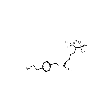 CCCc1ccc(CCC(C)=CCCCC(P(=O)(O)O)S(=O)(=O)O)cc1